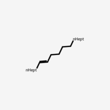 [CH2]CCCCCCCCCC/C=C/CCCCCCC